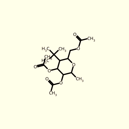 CC(=O)OCC1OC(C)C(OC(C)=O)C(OC(C)=O)C1C(C)(C)C